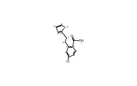 O=C(O)c1ccc(Cl)cc1CCc1cccs1